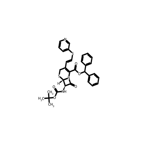 CC(C)(C)OC(=O)N[C@@H]1C(=O)N2C(C(=O)OC(c3ccccc3)c3ccccc3)=C(C=CSc3cccnc3)CS[C@@H]12